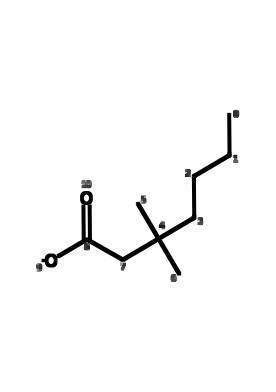 CCCCC(C)(C)CC([O])=O